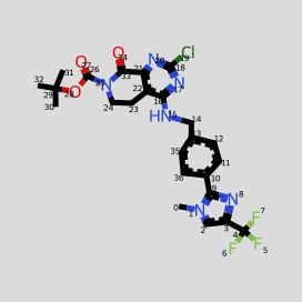 Cn1cc(C(F)(F)F)nc1-c1ccc(CNc2nc(Cl)nc3c2CCN(C(=O)OC(C)(C)C)C3=O)cc1